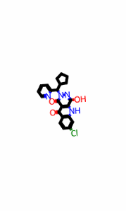 O=c1c2ccc(Cl)cc2[nH]c2c(O)nn(C(c3ccccn3)C3CCCC3)c(=O)c12